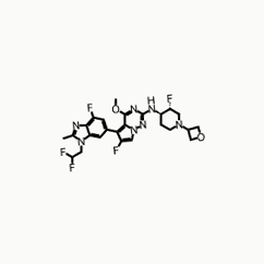 COc1nc(N[C@@H]2CCN(C3COC3)C[C@H]2F)nn2cc(F)c(-c3cc(F)c4nc(C)n(CC(F)F)c4c3)c12